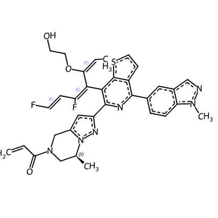 C=CC(=O)N1Cc2cc(-c3nc(-c4ccc5c(cnn5C)c4)c4ccsc4c3C(/C(=C\C)OCCO)=C(F)/C=C/F)nn2[C@@H](C)C1